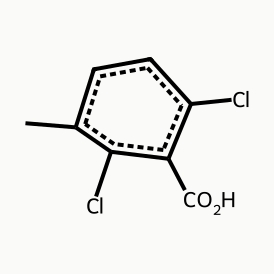 Cc1ccc(Cl)c(C(=O)O)c1Cl